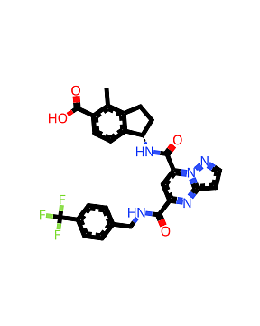 Cc1c(C(=O)O)ccc2c1CC[C@@H]2NC(=O)c1cc(C(=O)NCc2ccc(C(F)(F)F)cc2)nc2ccnn12